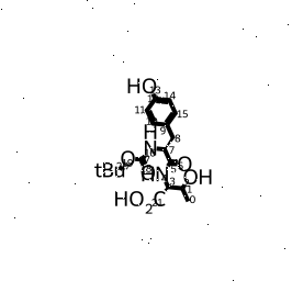 CC(O)[C@H](NC(=O)[C@H](Cc1ccc(O)cc1)NC(=O)OC(C)(C)C)C(=O)O